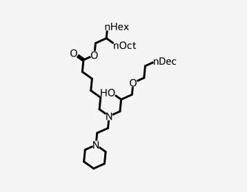 CCCCCCCCCCCCOCC(O)CN(CCCCCC(=O)OCC(CCCCCC)CCCCCCCC)CCN1CCCCC1